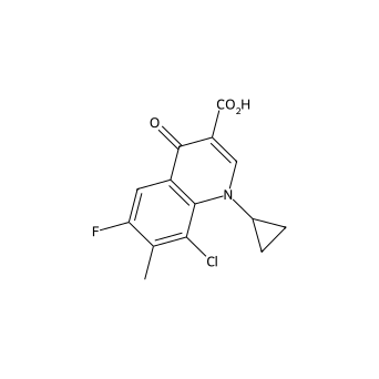 Cc1c(F)cc2c(=O)c(C(=O)O)cn(C3CC3)c2c1Cl